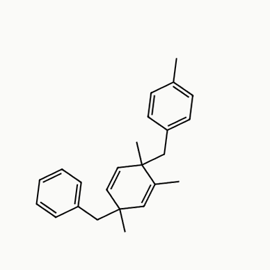 CC1=CC(C)(Cc2ccccc2)C=CC1(C)Cc1ccc(C)cc1